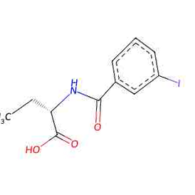 CC[C@H](NC(=O)c1cccc(I)c1)C(=O)O